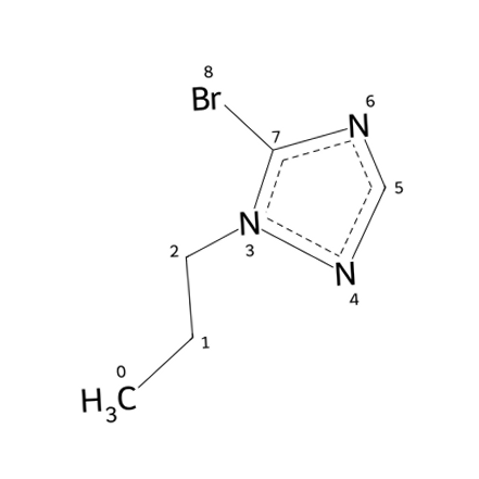 CCCn1ncnc1Br